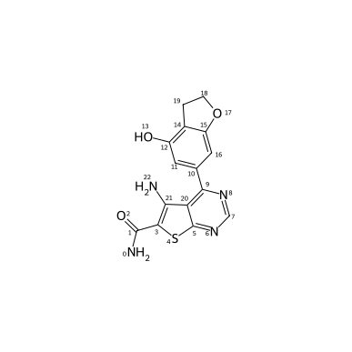 NC(=O)c1sc2ncnc(-c3cc(O)c4c(c3)OCC4)c2c1N